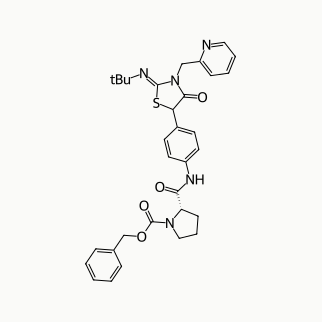 CC(C)(C)/N=C1\SC(c2ccc(NC(=O)[C@@H]3CCCN3C(=O)OCc3ccccc3)cc2)C(=O)N1Cc1ccccn1